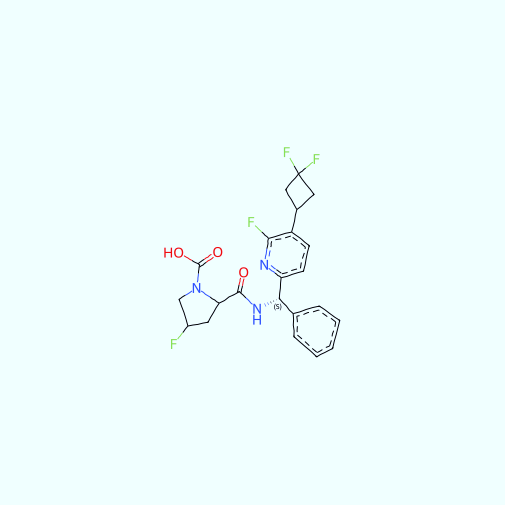 O=C(N[C@@H](c1ccccc1)c1ccc(C2CC(F)(F)C2)c(F)n1)C1CC(F)CN1C(=O)O